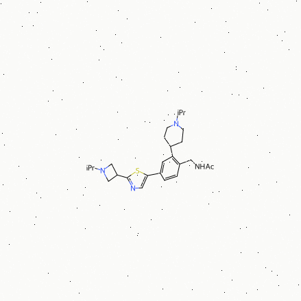 CC(=O)NCc1ccc(-c2cnc(C3CN(C(C)C)C3)s2)cc1C1CCN(C(C)C)CC1